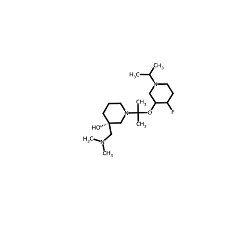 CC(C)N1CCC(F)C(OC(C)(C)N2CCC[C@](O)(CN(C)C)C2)C1